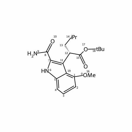 COc1cccc2[nH]c(C(N)=O)c([C@H](CC(C)C)C(=O)OC(C)(C)C)c12